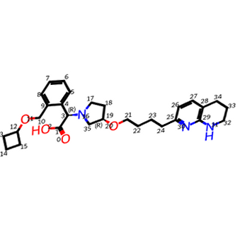 O=C(O)[C@@H](c1ccccc1COC1CCC1)N1CC[C@@H](OCCCCc2ccc3c(n2)NCCC3)C1